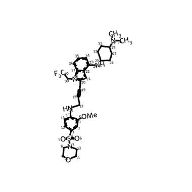 COc1cc(S(=O)(=O)N2CCOCC2)ccc1NCC#Cc1cc2c(NC3CCC(N(C)C)CC3)cccc2n1CC(F)(F)F